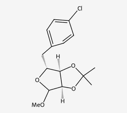 COC1O[C@H](Cc2ccc(Cl)cc2)[C@H]2OC(C)(C)O[C@@H]12